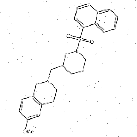 COc1ccc2c(c1)CCN(CC1CCCN(S(=O)(=O)c3cccc4ccccc34)C1)C2